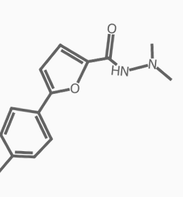 CN(C)NC(=O)c1ccc(-c2ccc(Cl)cc2)o1